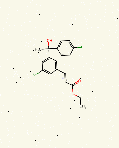 CCOC(=O)/C=C/c1cc(Br)cc(C(C)(O)c2ccc(F)cc2)c1